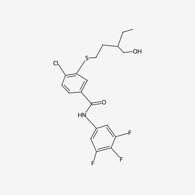 CCC(CO)CCSc1cc(C(=O)Nc2cc(F)c(F)c(F)c2)ccc1Cl